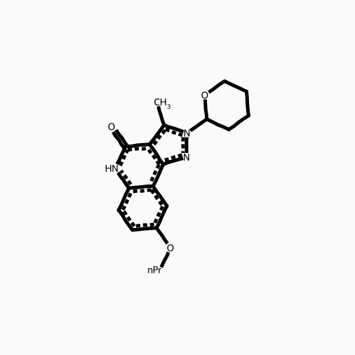 [CH2]CCOc1ccc2[nH]c(=O)c3c(C)n(C4CCCCO4)nc3c2c1